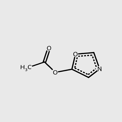 CC(=O)Oc1cnco1